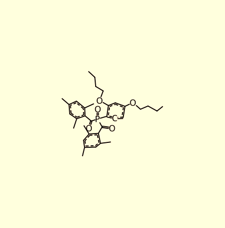 CCCCOc1ccc(P(=O)(C(=O)c2c(C)cc(C)cc2C)C(=O)c2c(C)cc(C)cc2C)c(OCCCC)c1